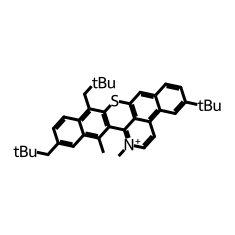 Cc1c2c(c(CC(C)(C)C)c3ccc(CC(C)(C)C)cc13)Sc1cc3ccc(C(C)(C)C)cc3c3cc[n+](C)c-2c13